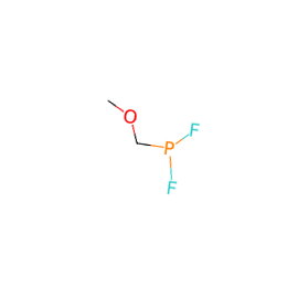 COCP(F)F